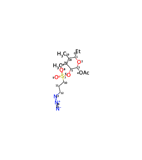 CCC1OC(OC(C)=O)C(OS(=O)(=O)CCCN=[N+]=[N-])C(C)C1C